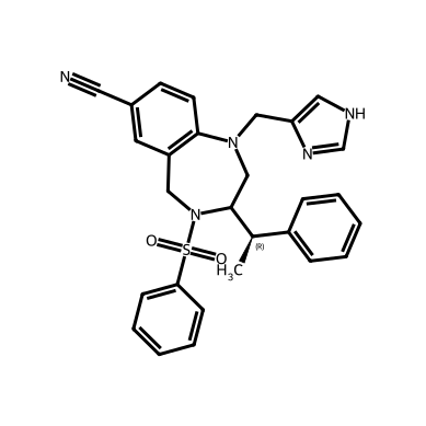 C[C@H](c1ccccc1)C1CN(Cc2c[nH]cn2)c2ccc(C#N)cc2CN1S(=O)(=O)c1ccccc1